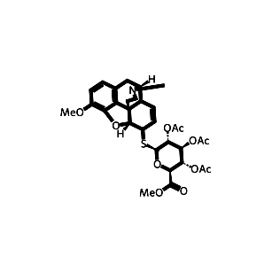 COC(=O)[C@H]1O[C@@H](SC2C=CC3[C@H]4Cc5ccc(OC)c6c5[C@@]3(CCN4C)[C@H]2O6)[C@H](OC(C)=O)[C@@H](OC(C)=O)[C@@H]1OC(C)=O